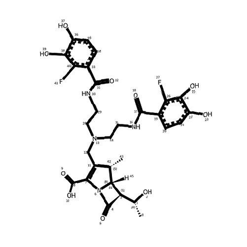 C[C@@H](O)[C@H]1C(=O)N2C(C(=O)O)=C(CN(CCNC(=O)c3ccc(O)c(O)c3F)CCNC(=O)c3ccc(O)c(O)c3F)[C@H](C)[C@H]12